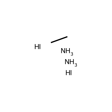 CC.I.I.N.N